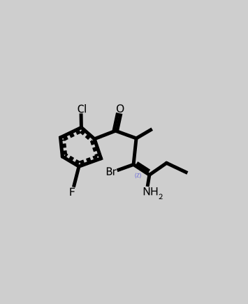 CC/C(N)=C(/Br)C(C)C(=O)c1cc(F)ccc1Cl